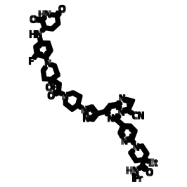 CCC1(C(=O)NC(C)C)CCN(c2ccc(-c3nc(-c4cnn(C5CCN(C(=O)CC6(O)CCN(c7ccc(NC8CCC(=O)NC8=O)cc7F)CC6)CC5)c4)cc4ncc(C#N)n34)cn2)CC1